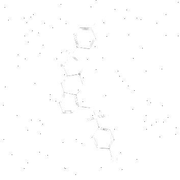 Cc1ccc(S(=O)(=O)Nc2cc3cccc(OS(=O)(=O)c4ccc(C)cc4)c3oc2=O)cc1